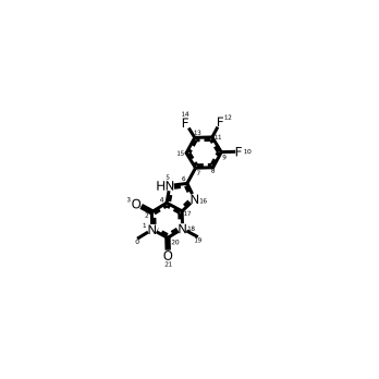 Cn1c(=O)c2[nH]c(-c3cc(F)c(F)c(F)c3)nc2n(C)c1=O